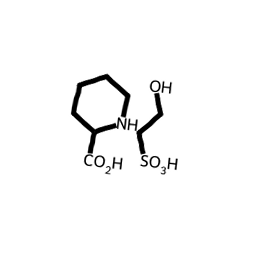 O=C(O)C1CCCCN1.O=S(=O)(O)CCO